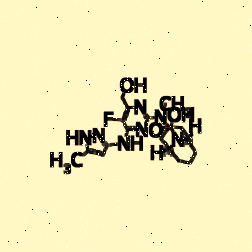 Cc1cc(Nc2nc(N(C)C3C[C@H]4CCC[C@@H](C3)N4C(=O)O)nc(CO)c2F)n[nH]1